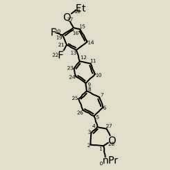 CCCC1CC=C(c2ccc(-c3ccc(-c4ccc(OCC)c(F)c4F)cc3)cc2)CO1